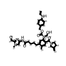 C=CNc1ccc(COC(=O)N(CO)c2cc(CCCCC(=O)Nc3cn(C)c(C=O)n3)c(C)cc2C(=O)N2CCC(=C)C2)cc1